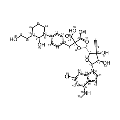 C#C[C@@]1(O)[C@@H](COC(Cc2ccc(N3CCCN(CCO)C3O)cc2)(C(=O)O)C(=O)O)O[C@@H](n2cnc3c(NC)nc(Cl)nc32)[C@@H]1O